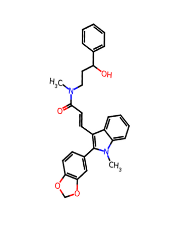 CN(CCC(O)c1ccccc1)C(=O)C=Cc1c(-c2ccc3c(c2)OCO3)n(C)c2ccccc12